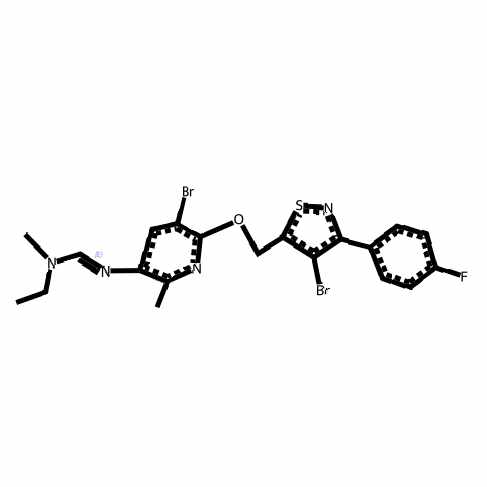 CCN(C)/C=N/c1cc(Br)c(OCc2snc(-c3ccc(F)cc3)c2Br)nc1C